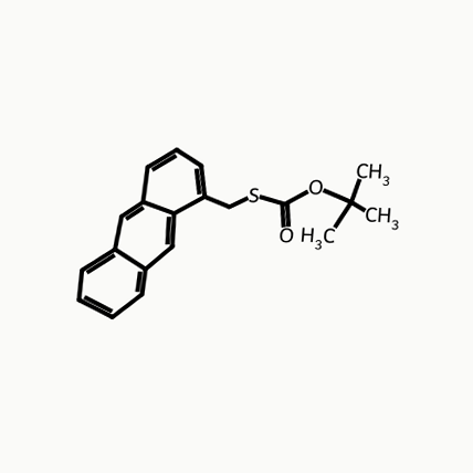 CC(C)(C)OC(=O)SCc1cccc2cc3ccccc3cc12